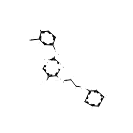 Fc1ccc(Nc2ncc(Br)c(NCCOc3ccccc3)n2)cc1Cl